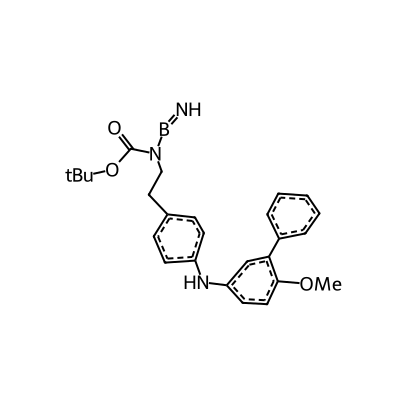 COc1ccc(Nc2ccc(CCN(B=N)C(=O)OC(C)(C)C)cc2)cc1-c1ccccc1